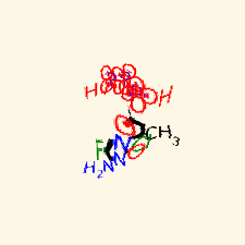 C[C@@]1(Cl)C[C@@H](COP(=O)(O)OP(=O)(O)OP(=O)(O)O)O[C@H]1n1cc(F)c(N)nc1=O